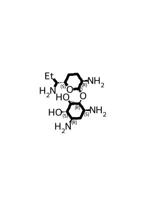 CCC(N)[C@@H]1CC[C@@H](N)[C@@H](O[C@H]2[C@H](O)[C@@H](O)[C@H](N)C[C@@H]2N)O1